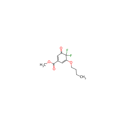 CCCCOC1=CC(C(=O)OC)=CC(=O)C1(F)F